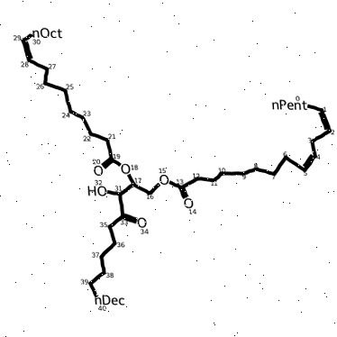 CCCCC/C=C\C/C=C\CCCCCCCC(=O)OCC(OC(=O)CCCCCCC/C=C\CCCCCCCC)C(O)C(=O)CCCCCCCCCCCCCCC